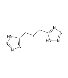 [CH](Cc1nnn[nH]1)Cc1nnn[nH]1